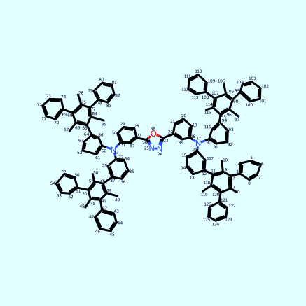 Cc1c(-c2ccccc2)c(C)c(-c2cccc(N(c3cccc(-c4nnc(-c5cccc(N(c6cccc(-c7c(C)c(-c8ccccc8)c(C)c(-c8ccccc8)c7C)c6)c6cccc(-c7c(C)c(-c8ccccc8)c(C)c(-c8ccccc8)c7C)c6)c5)o4)c3)c3cccc(-c4c(C)c(-c5ccccc5)c(C)c(-c5ccccc5)c4C)c3)c2)c(C)c1-c1ccccc1